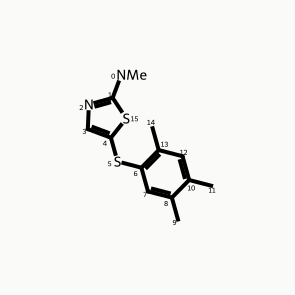 CNc1ncc(Sc2cc(C)c(C)cc2C)s1